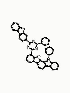 c1ccc(-c2nc(-c3ccc4c(c3)sc3ccccc34)nc(-c3cccc4c3oc3c4ccc4c5ccccc5n(-c5ccccc5)c43)n2)cc1